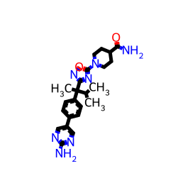 CC(C)C(C)(c1ccc(-c2cnc(N)nc2)cc1)c1noc(N2CCC(C(N)=O)CC2)n1